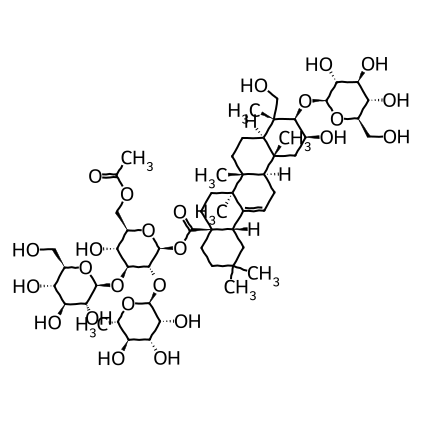 CC(=O)OC[C@H]1O[C@@H](OC(=O)[C@]23CCC(C)(C)C[C@H]2C2=CC[C@@H]4[C@@]5(C)C[C@H](O)[C@H](O[C@@H]6O[C@H](CO)[C@@H](O)[C@H](O)[C@H]6O)[C@@](C)(CO)[C@@H]5CC[C@@]4(C)[C@]2(C)CC3)[C@H](O[C@@H]2O[C@@H](C)[C@H](O)[C@@H](O)[C@H]2O)[C@@H](O[C@@H]2O[C@H](CO)[C@@H](O)[C@H](O)[C@H]2O)[C@@H]1O